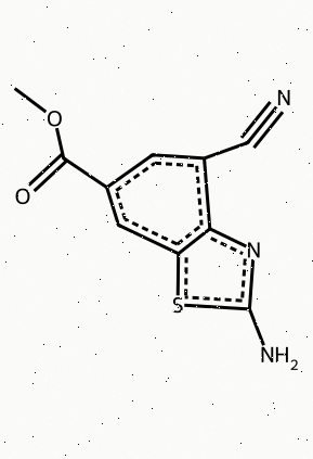 COC(=O)c1cc(C#N)c2nc(N)sc2c1